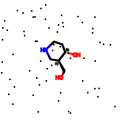 OC[C@H]1CNCC[C@@H]1O